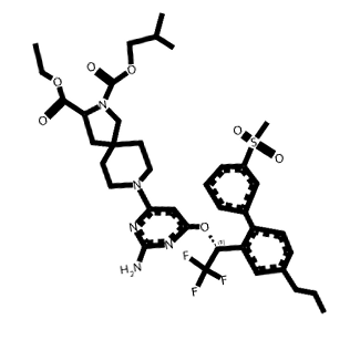 CCCc1ccc(-c2cccc(S(C)(=O)=O)c2)c([C@@H](Oc2cc(N3CCC4(CC3)CC(C(=O)OCC)N(C(=O)OCC(C)C)C4)nc(N)n2)C(F)(F)F)c1